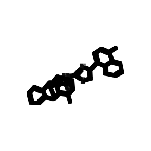 Cc1cccc2c1C1CC(C)(C(=O)Nc3nc(-c4ccc(C)c5ccccc45)cs3)C2c2ccccc21